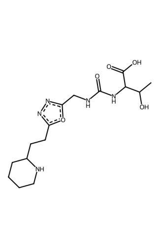 CC(O)C(NC(=O)NCc1nnc(CCC2CCCCN2)o1)C(=O)O